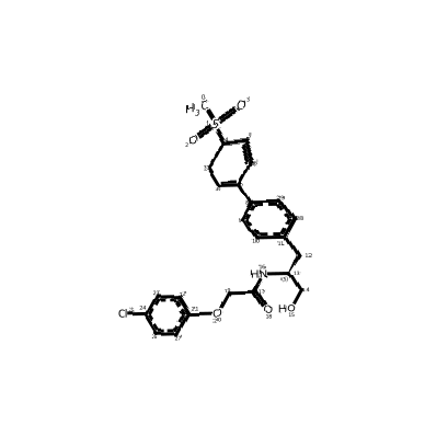 CS(=O)(=O)C1C=CC(c2ccc(C[C@@H](CO)NC(=O)COc3ccc(Cl)cc3)cc2)=CC1